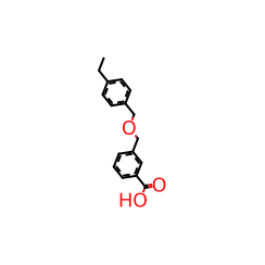 CCc1ccc(COCc2cccc(C(=O)O)c2)cc1